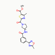 CCCOC(=O)c1sc(C(=O)N2CC[C@@H](NC(=O)c3cccc(-c4noc(C)n4)c3)C2)nc1C